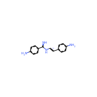 N=C(N/C=C/c1ccc(N)cc1)c1ccc(N)cc1